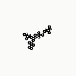 C1=c2oc3c4oc5ccccc5c4c4ccccc4c3c2=CC(c2cccc(-c3c4ccccc4c(-c4cccc5ccccc45)c4ccccc34)c2)C1c1cccc2c(-c3c4ccccc4c(-c4cccc(-c5ccc6oc7c(c6c5)c5ccccc5c5oc6ccccc6c57)c4)c4ccccc34)cccc12